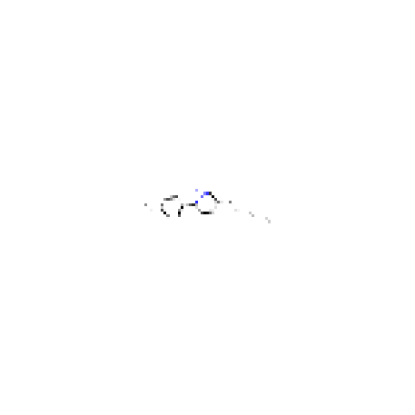 CCCCCCc1ccc(-c2ccc(CC)cc2)nc1